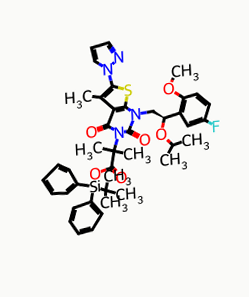 COc1ccc(F)cc1[C@H](Cn1c(=O)n(C(C)(C)C(=O)O[Si](c2ccccc2)(c2ccccc2)C(C)(C)C)c(=O)c2c(C)c(-n3cccn3)sc21)OC(C)C